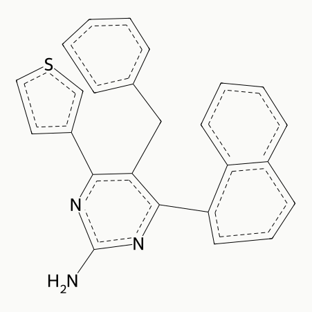 Nc1nc(-c2ccsc2)c(Cc2ccccc2)c(-c2cccc3ccccc23)n1